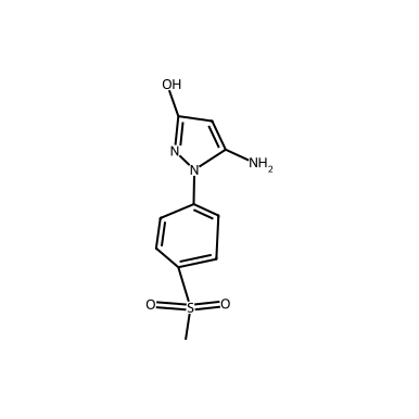 CS(=O)(=O)c1ccc(-n2nc(O)cc2N)cc1